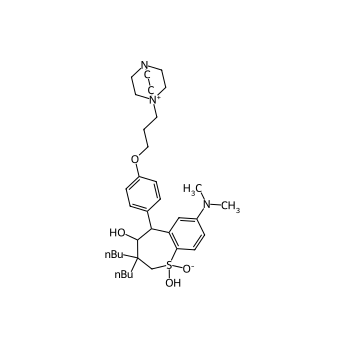 CCCCC1(CCCC)CS([O-])(O)c2ccc(N(C)C)cc2C(c2ccc(OCCC[N+]34CCN(CC3)CC4)cc2)C1O